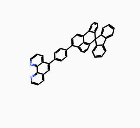 c1ccc2c(c1)-c1ccccc1C21c2ccccc2-c2ccc(-c3ccc(-c4cc5cccnc5c5ncccc45)cc3)c3cccc1c23